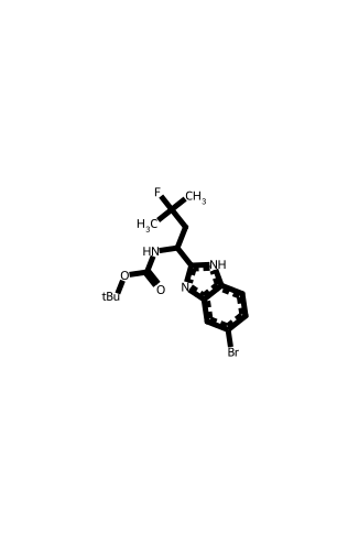 CC(C)(F)CC(NC(=O)OC(C)(C)C)c1nc2cc(Br)ccc2[nH]1